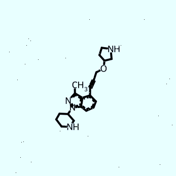 Cc1nn(C2CCCNC2)c2cccc(C#CCOC3CCNC3)c12